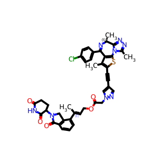 C/C(=C\COC(=O)Cn1cc(C#Cc2sc3c(c2C)C(c2ccc(Cl)cc2)=N[C@@H](C)c2nnc(C)n2-3)cn1)c1cccc2c1CN(C1CCC(=O)NC1=O)C2=O